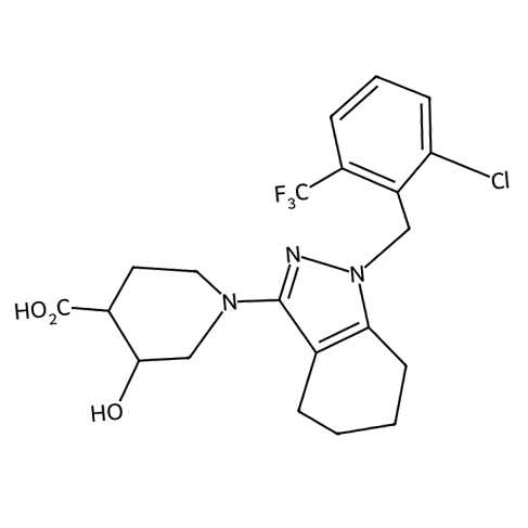 O=C(O)C1CCN(c2nn(Cc3c(Cl)cccc3C(F)(F)F)c3c2CCCC3)CC1O